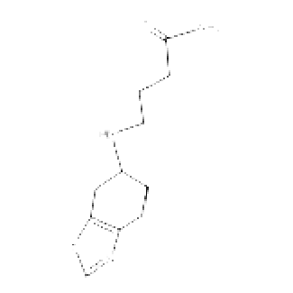 NC(=O)CCCNC1CCc2ncsc2C1